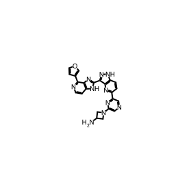 NC1CN(c2cncc(-c3ccc4[nH]nc(-c5nc6c(-c7ccoc7)nccc6[nH]5)c4n3)n2)C1